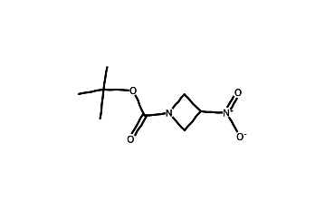 CC(C)(C)OC(=O)N1CC([N+](=O)[O-])C1